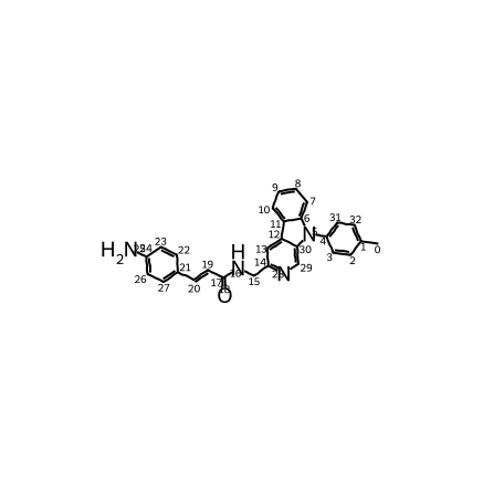 Cc1ccc(-n2c3ccccc3c3cc(CNC(=O)/C=C/c4ccc(N)cc4)ncc32)cc1